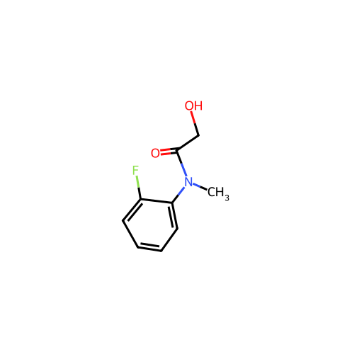 CN(C(=O)CO)c1ccccc1F